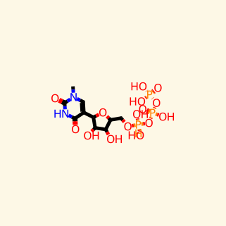 Cn1cc(C2OC(CO[PH](O)(O)OP(=O)(O)OP(=O)(O)O)C(O)C2O)c(=O)[nH]c1=O